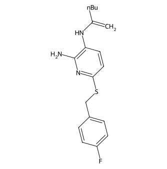 C=C(CCCC)Nc1ccc(SCc2ccc(F)cc2)nc1N